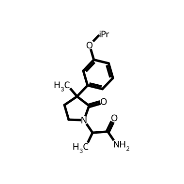 CC(C)Oc1cccc(C2(C)CCN(C(C)C(N)=O)C2=O)c1